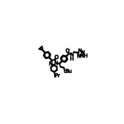 CC(C)C1CCC2(CC1)N=C(c1ccc(C3CC3)cc1)C(=O)N2[C@H](CCC(C)(C)C)c1ccc(C(=O)NCc2nn[nH]n2)cc1